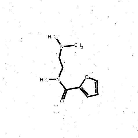 CN(C)CCN(C)C(=O)c1ccco1